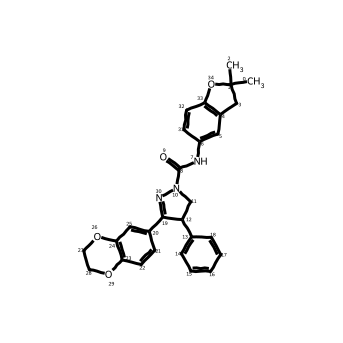 CC1(C)Cc2cc(NC(=O)N3CC(c4ccccc4)C(c4ccc5c(c4)OCCO5)=N3)ccc2O1